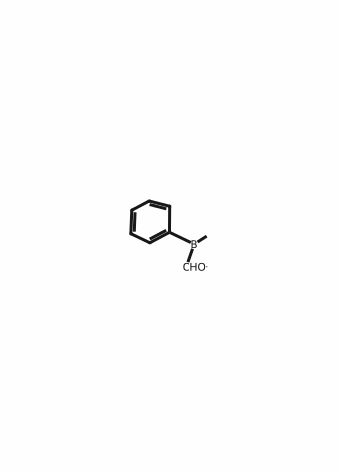 CB([C]=O)c1ccccc1